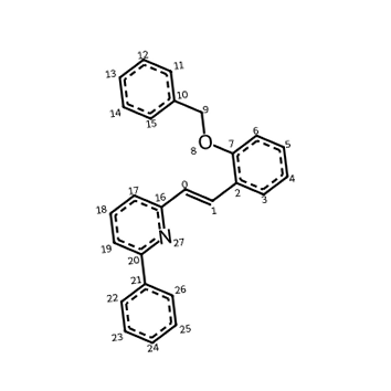 C(=Cc1ccccc1OCc1ccccc1)c1cccc(-c2ccccc2)n1